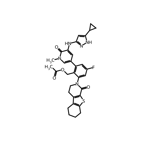 CC(=O)OCc1c(-c2cc(Nc3cc(C4CC4)[nH]n3)c(=O)n(C)c2)cc(F)cc1N1CCc2c(sc3c2CCCC3)C1=O